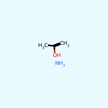 C=C(C)O.N